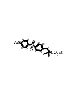 CCOC(=O)C(C)(C)Cc1ccc(S(=O)(=O)c2ccc(C(C)=O)cc2)cc1